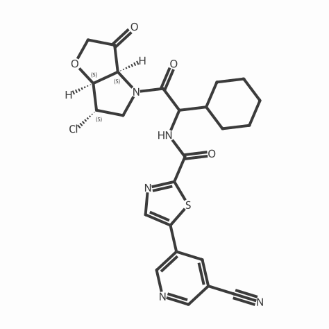 N#Cc1cncc(-c2cnc(C(=O)NC(C(=O)N3C[C@H](Cl)[C@H]4OCC(=O)[C@H]43)C3CCCCC3)s2)c1